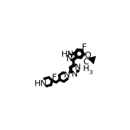 CC1(Oc2cc3c(-c4cc(N5CCC(CC6(F)CCNCC6)CC5)ncn4)n[nH]c3cc2F)CC1